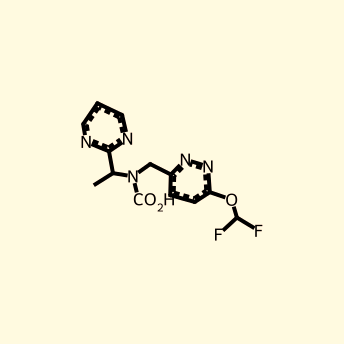 CC(c1ncccn1)N(Cc1ccc(OC(F)F)nn1)C(=O)O